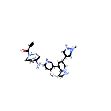 C#CC(=O)N1CC2CCC1CC2Nc1ccc(-c2cc(-c3cnn(C)c3)cn3ncc(C#N)c23)cn1